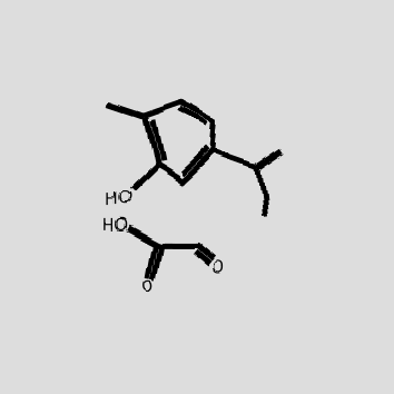 Cc1ccc(C(C)C)cc1O.O=CC(=O)O